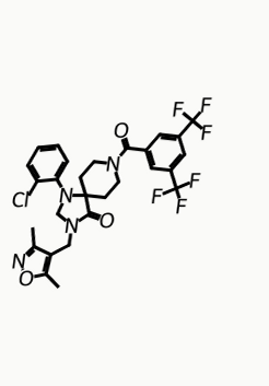 Cc1noc(C)c1CN1CN(c2ccccc2Cl)C2(CCN(C(=O)c3cc(C(F)(F)F)cc(C(F)(F)F)c3)CC2)C1=O